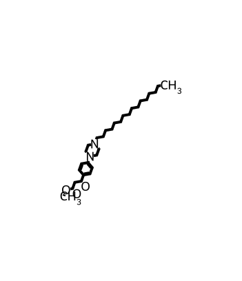 CCCCCCCCCCCCCCCCN1CCN(c2ccc(C(=O)CC(=O)OC)cc2)CC1